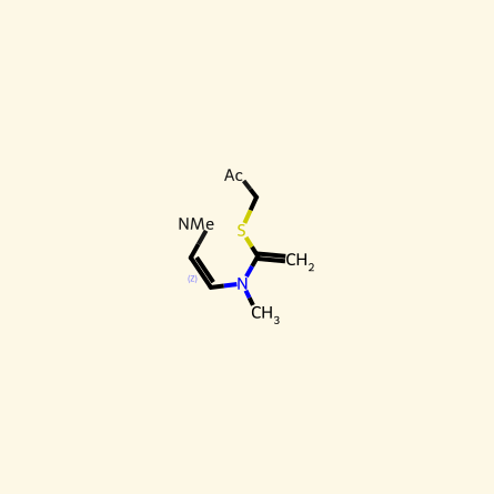 C=C(SCC(C)=O)N(C)/C=C\NC